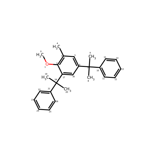 COc1c(C)cc(C(C)(C)c2ccccc2)cc1C(C)(C)c1ccccc1